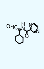 O=C[C@@H](NC(=O)c1cnccn1)C1CCCCC1